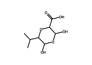 CC(C)C1OC(C(=O)O)C(O)OC1O